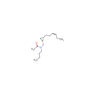 CC/C=C\CCC1CC1CN(CCCC)C(C)=O